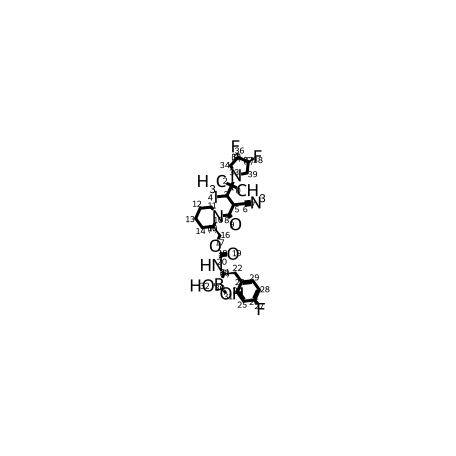 CC(C)(C(I)C(C#N)C(=O)N1CCCC[C@@H]1COC(=O)N[C@@H](Cc1ccc(F)cc1)B(O)O)N1C[C@@H](F)[C@@H](F)C1